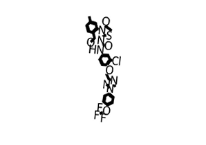 COCc1ccc(C)cc1N1C(=O)CSC1=NC(=O)Nc1ccc(OCc2ncn(-c3ccc(OC(F)(F)F)cc3)n2)c(Cl)c1